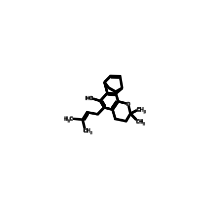 CC(C)=CCc1c(O)c2c(c3c1CCC(C)(C)O3)C1C=CC2CC1